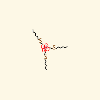 CCCCCCSCCOP(=O)(OCCSCCCCCC)OCCSCCCCCC